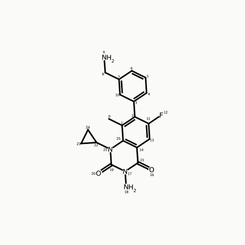 Cc1c(-c2cccc(CN)c2)c(F)cc2c(=O)n(N)c(=O)n(C3CC3)c12